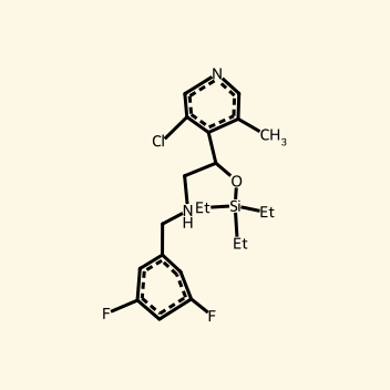 CC[Si](CC)(CC)OC(CNCc1cc(F)cc(F)c1)c1c(C)cncc1Cl